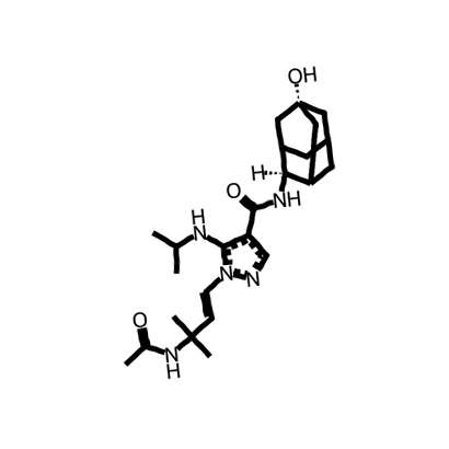 CC(=O)NC(C)(C)/C=C/n1ncc(C(=O)N[C@H]2C3CC4CC2C[C@](O)(C4)C3)c1NC(C)C